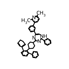 Cc1ccc(-c2cccc(C3=CNC(c4ccccc4)=NC(C4CCC(c5c(C6=CCCC=C6)cccc5-c5ccccc5)CC4)=N3)c2)c(C)n1